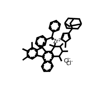 Cc1cc2c(c(C)c1C)C(C)c1c3c(c4ccccc4c1-2)C(C)C(C)C(C)[C]3(C)[Zr+2]([C]1=CC(C23CC4CC(CC(C4)C2)C3)=CC1C)=[C](c1ccccc1)c1ccccc1.[Cl-].[Cl-]